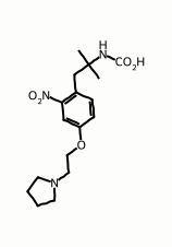 CC(C)(Cc1ccc(OCCN2CCCC2)cc1[N+](=O)[O-])NC(=O)O